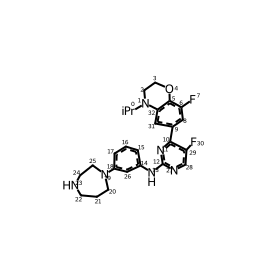 CC(C)N1CCOc2c(F)cc(-c3nc(Nc4cccc(N5CCCNCC5)c4)ncc3F)cc21